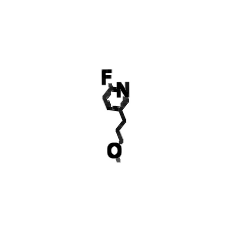 COCCCc1ccc(F)nc1